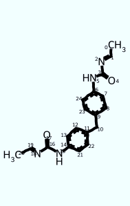 CC=NC(=O)Nc1ccc(Cc2ccc(NC(=O)N=CC)cc2)cc1